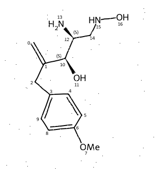 C=C(Cc1ccc(OC)cc1)[C@H](O)[C@@H](N)CNO